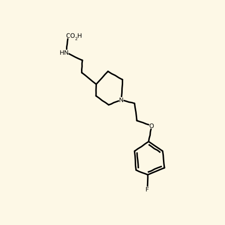 O=C(O)NCCC1CCN(CCOc2ccc(F)cc2)CC1